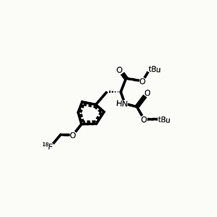 CC(C)(C)OC(=O)N[C@H](Cc1ccc(OC[18F])cc1)C(=O)OC(C)(C)C